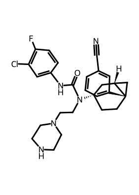 N#Cc1cccc([C@@]23CC[C@H](N(CCN4CCNCC4)C(=O)Nc4ccc(F)c(Cl)c4)C[C@@H]2C3)c1